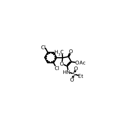 CCS(=O)(=O)NC1=C(OC(C)=O)C(=O)C(C)(c2cc(Cl)ccc2Cl)O1